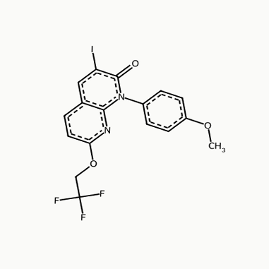 COc1ccc(-n2c(=O)c(I)cc3ccc(OCC(F)(F)F)nc32)cc1